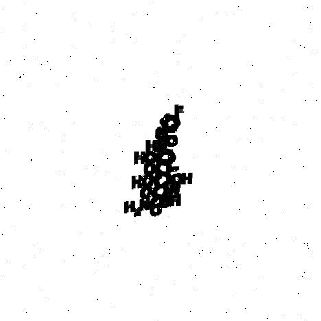 CC1c2ccc(NC(=O)Oc3ccc(F)cc3)c(O)c2C(=O)C2=C(O)C3C(=O)C(C(N)=O)=C(O)[C@@H](N(C)C)C3[C@@H](O)C21